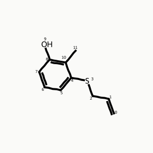 C=CCSc1cccc(O)c1C